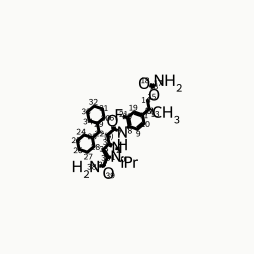 CC(C)n1nc([C@@H](C(=O)Nc2ccc([C@H](C)COC(N)=O)cc2F)C(C2CCCCC2)C2CCCCC2)cc1C(N)=O